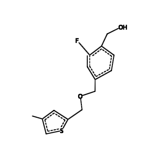 Cc1csc(COCc2ccc(CO)c(F)c2)c1